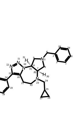 c1ccc(CN2C[C@@H]3[C@H](C2)n2nnc(-c4ccccc4)c2CCN3CC2CC2)cc1